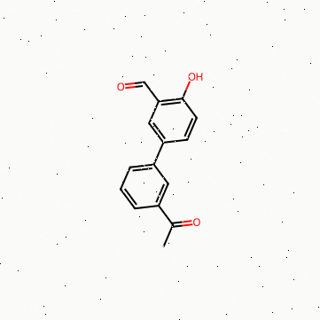 CC(=O)c1cccc(-c2ccc(O)c(C=O)c2)c1